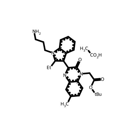 CC(=O)O.CCc1c(-c2nc3cc(C)ccc3n(CC(=O)OC(C)(C)C)c2=O)c2ccccc2n1CCCN